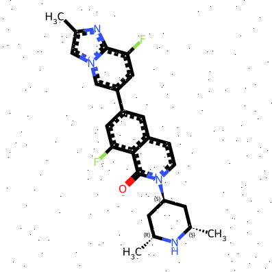 Cc1cn2cc(-c3cc(F)c4c(=O)n([C@@H]5C[C@@H](C)N[C@@H](C)C5)ccc4c3)cc(F)c2n1